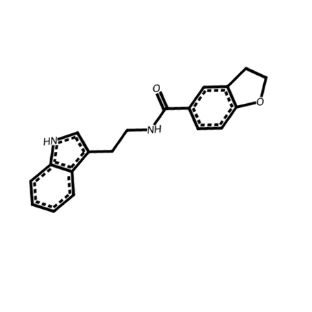 O=C(NCCc1c[nH]c2ccccc12)c1ccc2c(c1)CCO2